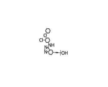 CC(C)(O)C#Cc1ccc2ncnc(Nc3ccc(Oc4ccccc4)c(Cl)c3)c2c1